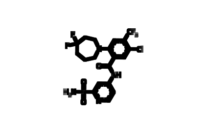 NS(=O)(=O)c1cc(NC(=O)c2cc(Cl)c(C(F)(F)F)cc2N2CCCC(F)(F)CC2)ccn1